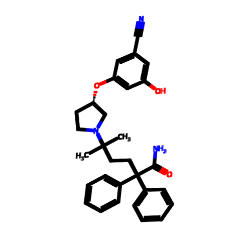 CC(C)(CCC(C(N)=O)(c1ccccc1)c1ccccc1)N1CC[C@H](Oc2cc(O)cc(C#N)c2)C1